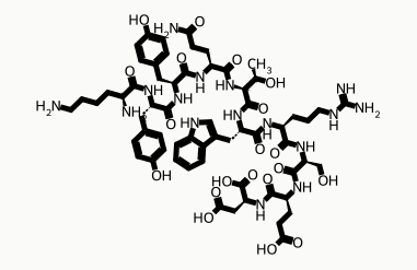 C[C@@H](O)[C@H](NC(=O)[C@H](CCC(N)=O)NC(=O)[C@H](Cc1ccc(O)cc1)NC(=O)[C@H](Cc1ccc(O)cc1)NC(=O)[C@@H](N)CCCCN)C(=O)N[C@@H](Cc1c[nH]c2ccccc12)C(=O)N[C@@H](CCCNC(=N)N)C(=O)N[C@@H](CO)C(=O)N[C@@H](CCC(=O)O)C(=O)N[C@@H](CC(=O)O)C(=O)O